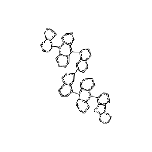 c1ccc2c(-c3c4ccccc4c(-c4cccc5ccc(-c6ccc7cccc(-c8c9ccccc9c(-c9cccc%10c9oc9ccccc9%10)c9ccccc89)c7c6)cc45)c4ccccc34)cccc2c1